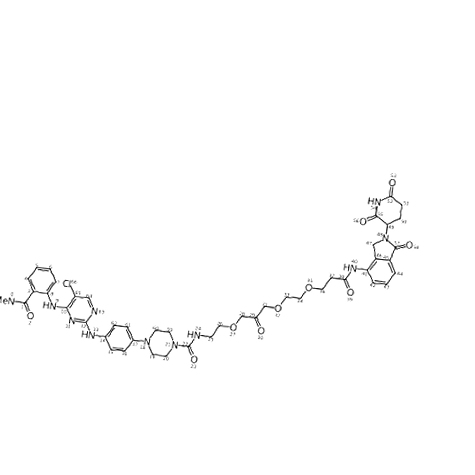 CNC(=O)c1ccccc1Nc1nc(Nc2ccc(N3CCN(C(=O)NCCOCC(=O)COCCOCCC(=O)Nc4cccc5c4CN(C4CCC(=O)NC4=O)C5=O)CC3)cc2)ncc1Cl